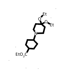 CCOC(=O)C1CCC(N2CCC(OCC)(OCC)CC2)CC1